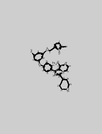 Cc1ccc(COc2cc(F)cc(Oc3ccc(-c4nc(C5CCOCC5)n5ccnc(N)c45)cc3)c2)s1